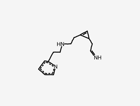 N=CCC1C=C1CCNCCc1ccccn1